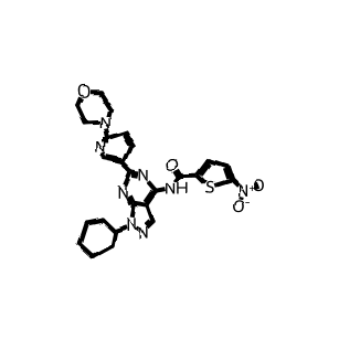 O=C(Nc1nc(-c2ccc(N3CCOCC3)nc2)nc2c1cnn2C1CCCCC1)c1ccc([N+](=O)[O-])s1